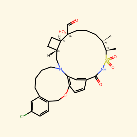 C[C@@H]1[C@@H](C)CCC[C@](O)(C=O)[C@@H]2CC[C@H]2CN2CCCCc3cc(Cl)ccc3COc3ccc(cc32)C(=O)NS1(=O)=O